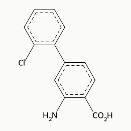 Nc1cc(-c2ccccc2Cl)ccc1C(=O)O